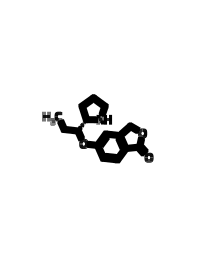 CCC(Oc1ccc2c(c1)COC2=O)[C@@H]1CCCN1